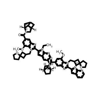 CCn1c(-c2nc3cc(C(=O)N4C[C@H]5CC6C[C@@H]4[C@H]65)cc(OC)c3n2CC2CC3(CCCO3)C2)cc2cc(N[C@@H]3[C@@H]4CC[C@H]3N(C(=O)c3cc(OC)c5c(c3)nc(-c3cc6cccnc6n3C)n5CC3CC5(CCCO5)C3)C4)cnc21